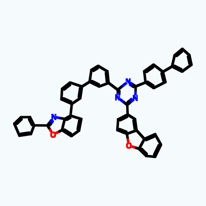 c1ccc(-c2ccc(-c3nc(-c4cccc(-c5cccc(-c6cccc7oc(-c8ccccc8)nc67)c5)c4)nc(-c4ccc5oc6ccccc6c5c4)n3)cc2)cc1